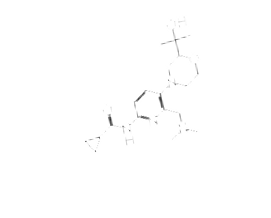 CN(C)Cc1nc(NC(=O)C2CC2)ccc1N1CCOC(C(C)(C)O)C1